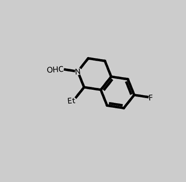 CCC1c2ccc(F)cc2CCN1C=O